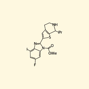 COC(=O)n1c(-c2cc3c(s2)C(C(C)C)NCC3)nc2c(I)cc(F)cc21